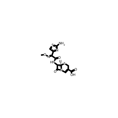 CON=C(C(=O)NC1C(=O)N2C=C(C(=O)O)CS[C@H]12)c1csc(N)n1